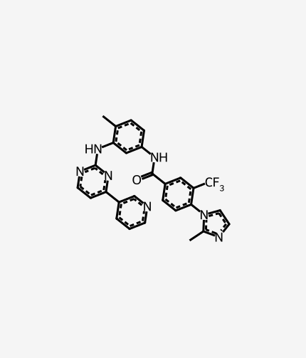 Cc1ccc(NC(=O)c2ccc(-n3ccnc3C)c(C(F)(F)F)c2)cc1Nc1nccc(-c2cccnc2)n1